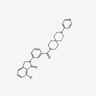 O=C(c1cccc(N2Cc3cccc(Cl)c3C2=O)c1)N1CCC2(CC1)CCN(c1ccncc1)CC2